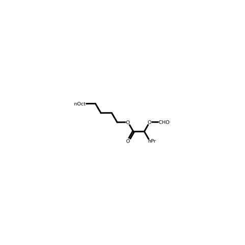 CCCCCCCCCCCCOC(=O)C(CCC)O[C]=O